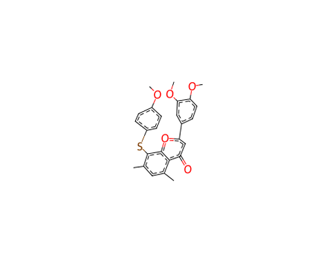 COc1ccc(Sc2c(C)cc(C)c3c(=O)cc(-c4ccc(OC)c(OC)c4)oc23)cc1